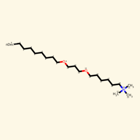 CCCCCCCCCCCCCCCCCCOCCCOCCCCCC[N+](C)(C)C